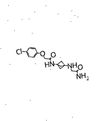 NC(=O)CNC12CC(NC(=O)COc3ccc(Cl)cc3)(C1)C2